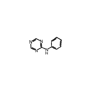 c1ccc(Nc2ncncn2)cc1